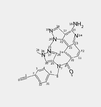 C#Cc1ccc(CN(C(=O)c2ccc3nc(N)c4cnn(C)c4c3c2)c2cnn(C)c2)cc1